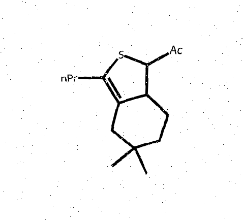 CCCC1=C2CC(C)(C)CCC2C(C(C)=O)S1